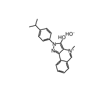 CC(C)c1ccc(-n2nc3c4ccccc4c[n+](C)c3c2O)cc1.[OH-]